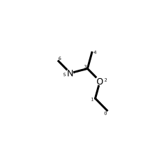 CCOC(C)[N]C